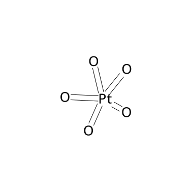 [O]=[Pt](=[O])(=[O])(=[O])=[O]